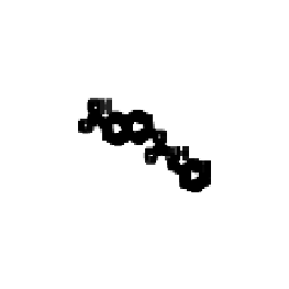 O=C(NCc1cccnc1)Oc1ccc2cc(C(=O)O)ccc2c1